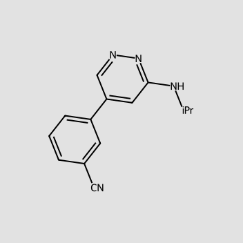 CC(C)Nc1cc(-c2cccc(C#N)c2)cnn1